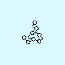 O=c1c2ccccc2c2cccc3c4cc(-c5cccc6sc7ccc(-n8c9ccccc9c9c%10oc%11ccccc%11c%10ccc98)cc7c56)ccc4n1c23